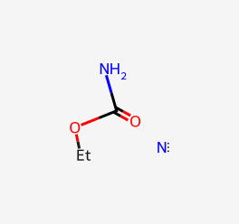 CCOC(N)=O.[N]